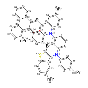 CCCc1ccc(N2c3cccc4c3B(c3cc(CCC)ccc3N4c3ccc(CCC)cc3-c3ccc4c5ccccc5c5ccccc5c4c3)c3sc4ccc(CCC)cc4c32)cc1